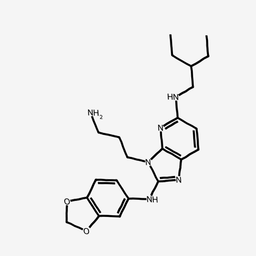 CCC(CC)CNc1ccc2nc(Nc3ccc4c(c3)OCO4)n(CCCN)c2n1